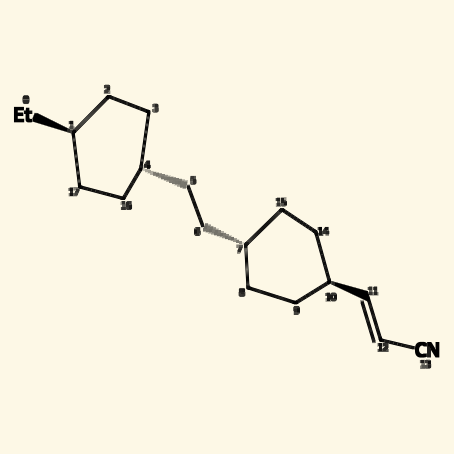 CC[C@H]1CC[C@H](CC[C@H]2CC[C@H](/C=C/C#N)CC2)CC1